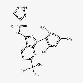 Cc1cc(C)c(-n2nc(NS(=O)(=O)c3cn[nH]c3)c3ccc(C(C)(C)C)nc32)c(C)c1